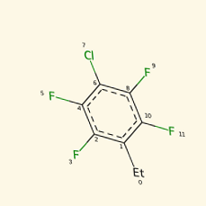 CCc1c(F)c(F)c(Cl)c(F)c1F